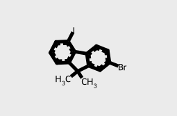 CC1(C)c2cc(Br)ccc2-c2c(I)cccc21